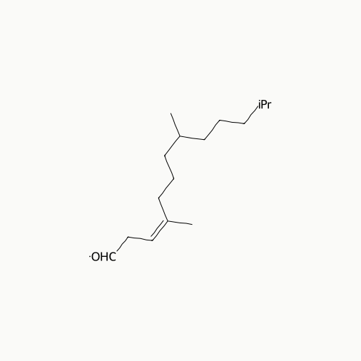 CC(=CC[C]=O)CCCC(C)CCCC(C)C